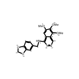 COc1cc2c(NCc3ccc4c(c3)OCO4)nncc2c(OC)c1OC